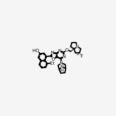 CCc1cccc2cc(O)cc(-c3nc4nc(OC[C@@]56CCCN5C[C@H](F)C6)nc(N5CC6CCC(C5)N6)c4o3)c12